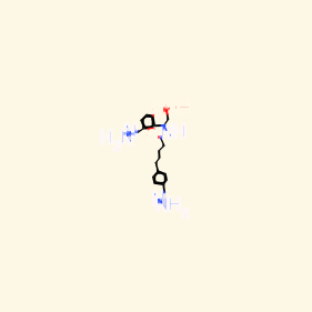 NN=Cc1ccc(CCCCC(=O)NC(CC(=O)O)c2cccc(C=NN)c2)cc1